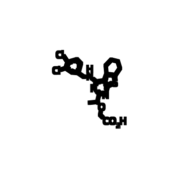 CC(OCC(=O)O)c1nc(NCc2ccc(Cl)c(Cl)c2)c2c3c(sc2n1)CCCC3